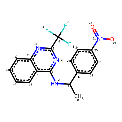 CC(Nc1nc(C(F)(F)F)nc2ccccc12)c1ccc([N+](=O)[O-])cc1